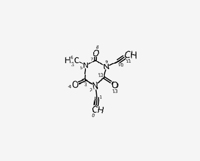 C#Cn1c(=O)n(C)c(=O)n(C#C)c1=O